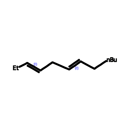 CC/C=C/C/C=C/CCCCC